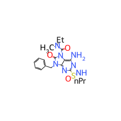 [CH2]CN(C)C(=O)n1c(=O)n(Cc2ccccc2)c2nc(S(=N)(=O)CCC)nc(N)c21